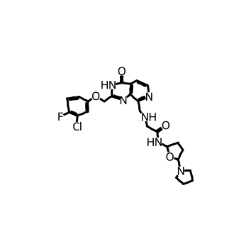 O=C(CNCc1nccc2c(=O)[nH]c(COc3ccc(F)c(Cl)c3)nc12)NC1CCC(N2CCCC2)O1